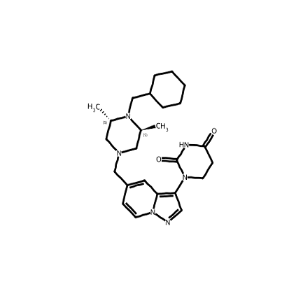 C[C@H]1CN(Cc2ccn3ncc(N4CCC(=O)NC4=O)c3c2)C[C@H](C)N1CC1CCCCC1